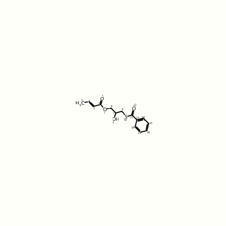 CC=CC(=O)OCC(O)CSC(=O)c1ccccc1